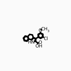 COc1cc(Cl)cc(-c2c(C(=O)O)[nH]c3c2CCc2ccccc2-3)c1